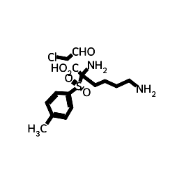 Cc1ccc(S(=O)(=O)C(N)(CCCCN)C(=O)O)cc1.O=CCCl